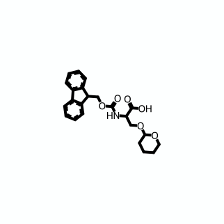 O=C(NC(COC1CCCCO1)C(=O)O)OCC1c2ccccc2-c2ccccc21